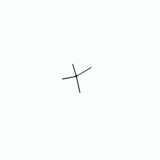 CCCC(C(F)(F)F)(C(F)(F)F)S(=O)(=O)O